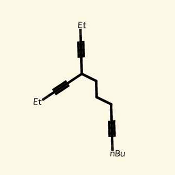 CCC#CC(C#CCC)CCCC#CCCCC